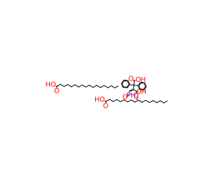 CCCCCCCCCCCCCCCCCC(=O)O.CCCCCCCCCCCCCCCCCC(=O)O.O=[PH2]C=C(C(=O)O)C(C(=O)O)(c1ccccc1)c1ccccc1